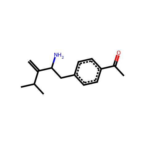 C=C(C(C)C)C(N)Cc1ccc(C(C)=O)cc1